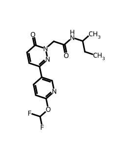 CCC(C)NC(=O)Cn1nc(-c2ccc(OC(F)F)nc2)ccc1=O